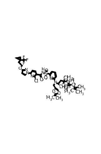 CC(CC(C)(C)NC(=O)OC(C)(C)C)N(CC1COC(C)(C)O1)c1cccc(S(=O)(=O)NC(=O)c2ccc(-n3ccc(OCCC4(C(F)(F)F)CC4)n3)nc2Cl)n1